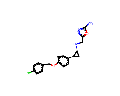 Nc1nnc(CN[C@@H]2C[C@H]2c2ccc(OCc3ccc(Cl)cc3)cc2)o1